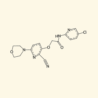 N#Cc1nc(N2CCOCC2)ccc1OCC(=O)Nc1ccc(Cl)cn1